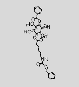 O=C(CCCCCNC(=O)OCc1ccccc1)O[C@H]1[C@@H](O)[C@@H](O)[C@H](OC(=O)c2ccccc2)[C@@H](O)[C@@H]1O